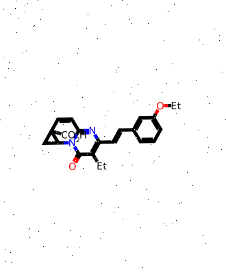 CCOc1cccc(/C=C/c2nc3n(c(=O)c2CC)C2CC2(C(=O)O)C=C3)c1